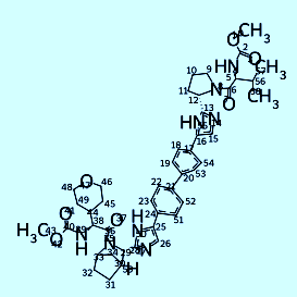 COC(=O)N[C@H](C(=O)N1CCC[C@H]1c1ncc(-c2ccc(-c3ccc(-c4cnc([C@@H]5[C@H]6CCC(C6)N5C(=O)[C@@H](NC(=O)OC)C5CCOCC5)[nH]4)cc3)cc2)[nH]1)C(C)C